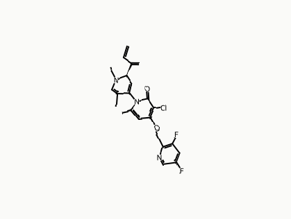 C=CC(=C)[C@H]1C=C(n2c(C)cc(OCc3ncc(F)cc3F)c(Cl)c2=O)C(C)=CN1C